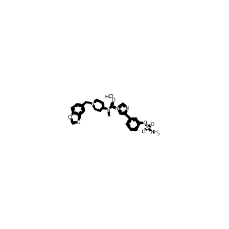 CN(C(=O)n1cnc(-c2cccc(OS(N)(=O)=O)c2)c1)C1CCN(Cc2ccc3c(c2)OCO3)CC1.Cl